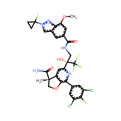 COc1cc(C(=O)NC[C@](O)(c2cc3c(c(-c4cc(Cl)c(F)c(Cl)c4)n2)OC[C@]3(C)C(N)=O)C(F)(F)F)cc2cn(C3(F)CC3)nc12